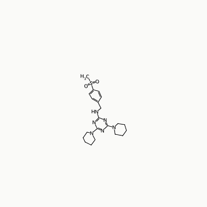 CS(=O)(=O)c1ccc(CNc2nc(N3CCCCC3)nc(N3CCCCC3)n2)cc1